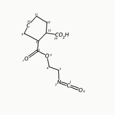 O=C=NCCOC(=O)C1CCCCC1C(=O)O